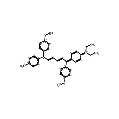 CC[N+](CC)=C1C=CC(=C(C=CC=CC(c2ccc(C)cc2)c2ccc(CO)cc2)c2ccc(OC)cc2)C=C1